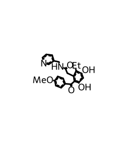 CCc1c(O)cc(O)c(C(=O)c2ccc(OC)cc2)c1CC(=O)NCc1cccnc1